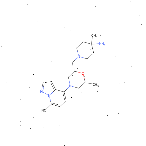 C[C@@H]1CN(c2ccc(C#N)n3nccc23)C[C@H](CN2CCC(C)(N)CC2)O1